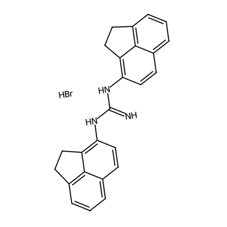 Br.N=C(Nc1ccc2cccc3c2c1CC3)Nc1ccc2cccc3c2c1CC3